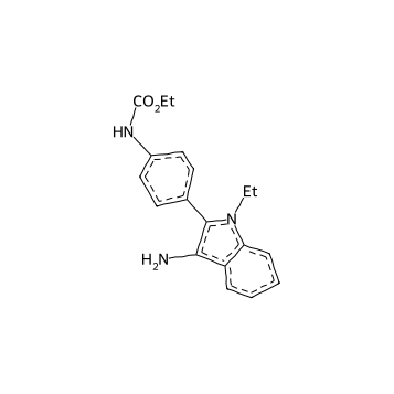 CCOC(=O)Nc1ccc(-c2c(N)c3ccccc3n2CC)cc1